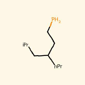 CCCC(CCP)CC(C)C